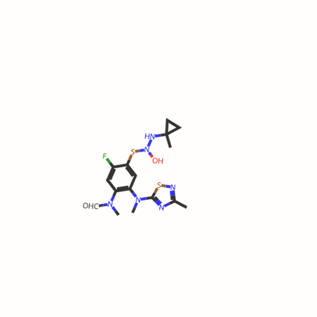 Cc1nsc(N(C)c2cc(SN(O)NC3(C)CC3)c(F)cc2N(C)C=O)n1